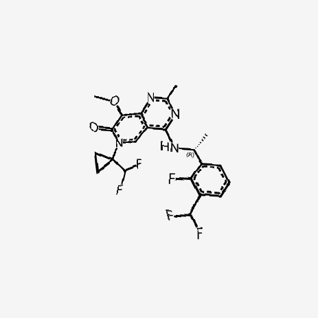 COc1c(=O)n(C2(C(F)F)CC2)cc2c(N[C@H](C)c3cccc(C(F)F)c3F)nc(C)nc12